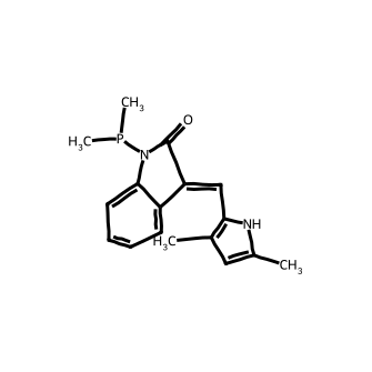 Cc1cc(C)c(C=C2C(=O)N(P(C)C)c3ccccc32)[nH]1